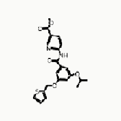 COC(=O)c1ccc(NC(=O)c2cc(OCc3cccs3)cc(OC(C)C)c2)nc1